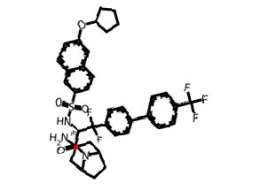 NC1CC2CCC(C1)N2C(=O)[C@@H](NS(=O)(=O)c1ccc2cc(OC3CCCC3)ccc2c1)C(F)(F)c1ccc(-c2ccc(C(F)(F)F)cc2)cc1